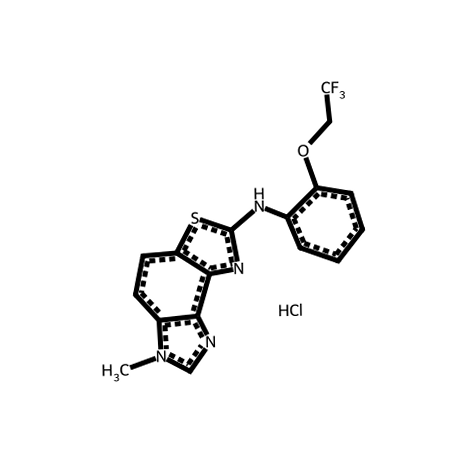 Cl.Cn1cnc2c3nc(Nc4ccccc4OCC(F)(F)F)sc3ccc21